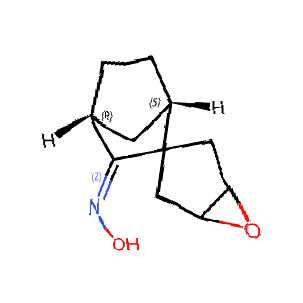 O/N=C1/[C@@H]2CC[C@@H](C2)C12CC1OC1C2